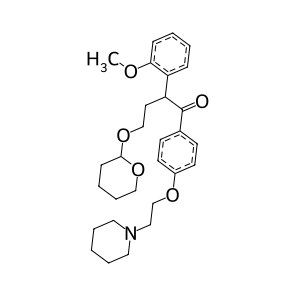 COc1ccccc1C(CCOC1CCCCO1)C(=O)c1ccc(OCCN2CCCCC2)cc1